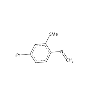 C=Nc1ccc(C(C)C)cc1SC